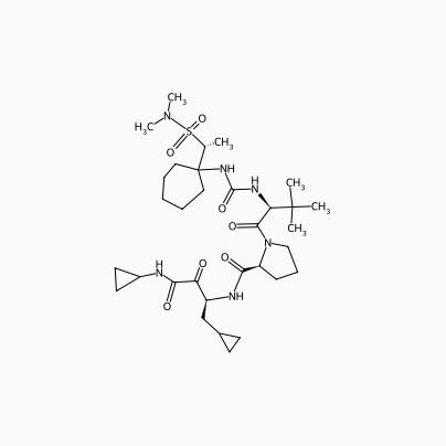 C[C@H](C1(NC(=O)N[C@H](C(=O)N2CCC[C@H]2C(=O)N[C@@H](CC2CC2)C(=O)C(=O)NC2CC2)C(C)(C)C)CCCCC1)S(=O)(=O)N(C)C